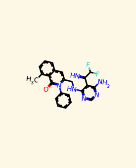 Cc1cccc2cc(CNc3ncnc(N)c3C(=N)C(F)F)n(-c3ccccc3)c(=O)c12